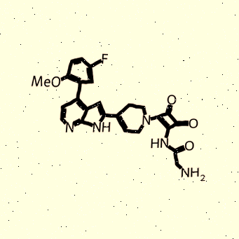 COc1ccc(F)cc1-c1ccnc2[nH]c(C3=CCN(c4c(NC(=O)CN)c(=O)c4=O)CC3)cc12